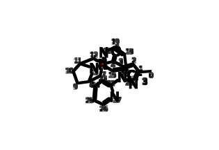 Cc1cc(C(=O)N2CC3CCC(C2)N3c2cc(C(F)(F)F)ccn2)n(-c2ccccn2)n1